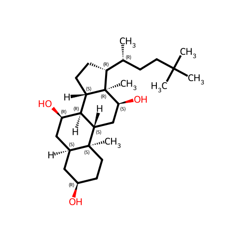 C[C@H](CCC(C)(C)C)[C@H]1CC[C@H]2[C@@H]3[C@H](O)C[C@@H]4C[C@H](O)CC[C@]4(C)[C@H]3C[C@H](O)[C@]12C